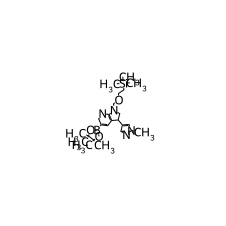 Cn1cc(C2CN(COCC[Si](C)(C)C)c3ncc(B4OC(C)(C)C(C)(C)O4)cc32)cn1